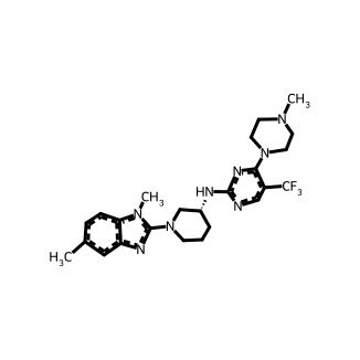 Cc1ccc2c(c1)nc(N1CCC[C@@H](Nc3ncc(C(F)(F)F)c(N4CCN(C)CC4)n3)C1)n2C